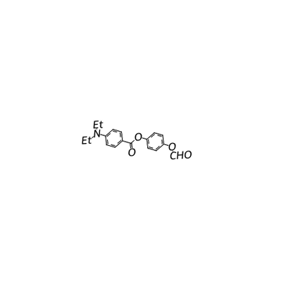 CCN(CC)c1ccc(C(=O)Oc2ccc(OC=O)cc2)cc1